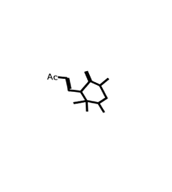 C=C1C(C)CC(C)C(C)(C)C1/C=C/C(C)=O